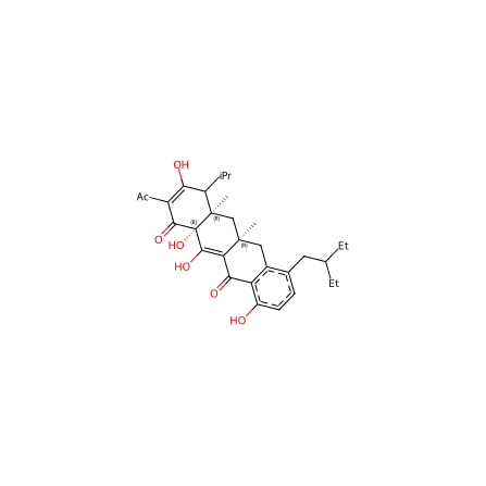 CCC(CC)Cc1ccc(O)c2c1C[C@]1(C)C[C@]3(C)C(C(C)C)C(O)=C(C(C)=O)C(=O)[C@]3(O)C(O)=C1C2=O